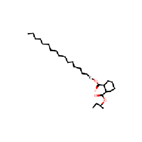 CCCCCCCCCCCCCCCCCOC(=O)C1CCCCC1C(=O)OC(C)CC